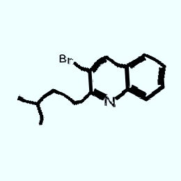 CC(C)CCc1nc2ccccc2cc1Br